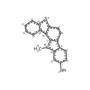 CCCc1ccc2c3ccc4sc5ccccc5c4c3n(C)c2c1